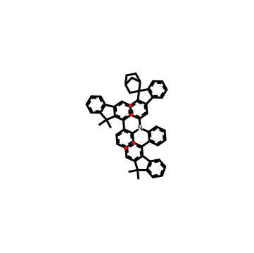 CC1(C)c2ccccc2-c2c(-c3ccccc3N(c3ccc4c(c3)-c3ccccc3C43CC4CCC3C4)c3ccccc3-c3cccc4c3C(C)(C)c3ccccc3-4)cccc21